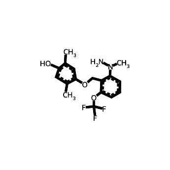 Cc1cc(OCc2c(OC(F)(F)F)cccc2N(C)N)c(C)cc1O